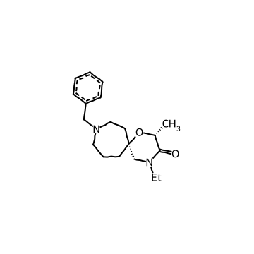 CCN1C[C@@]2(CCCN(Cc3ccccc3)CC2)O[C@H](C)C1=O